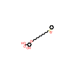 O=C(O)c1cc(OCCCCCCCCCCCC[S+]([O-])c2ccccc2)ccc1O